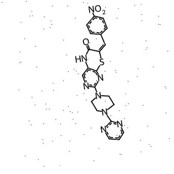 O=C1Nc2cnc(N3CCN(c4ncccn4)CC3)nc2S/C1=C/c1ccc([N+](=O)[O-])cc1